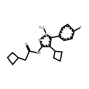 Cn1nc(NC(=O)CC2CCC2)c(C2CCC2)c1-c1ccc(F)cc1